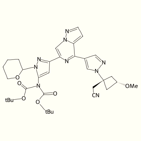 CO[C@H]1C[C@@](CC#N)(n2cc(-c3nc(-c4cc(N(C(=O)OC(C)(C)C)C(=O)OC(C)(C)C)n(C5CCCCO5)n4)cn4nccc34)cn2)C1